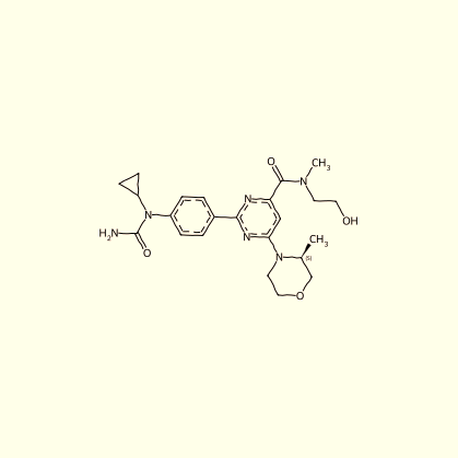 C[C@H]1COCCN1c1cc(C(=O)N(C)CCO)nc(-c2ccc(N(C(N)=O)C3CC3)cc2)n1